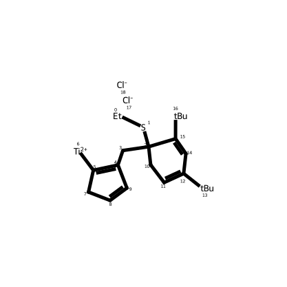 CCSC1(CC2=[C]([Ti+2])CC=C2)CC=C(C(C)(C)C)C=C1C(C)(C)C.[Cl-].[Cl-]